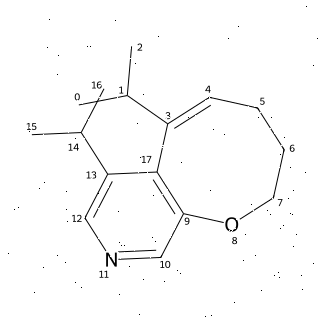 CC(C)/C1=C/CCCOc2cncc(C(C)C)c21